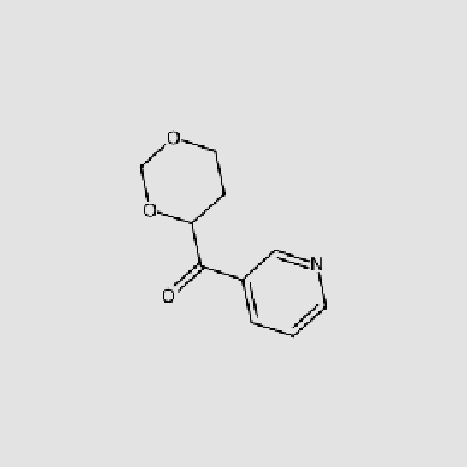 O=C(c1cccnc1)C1CCOCO1